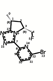 C[C@@H]1C[C@H](CF)n2c(-c3cccc(Br)n3)nnc21